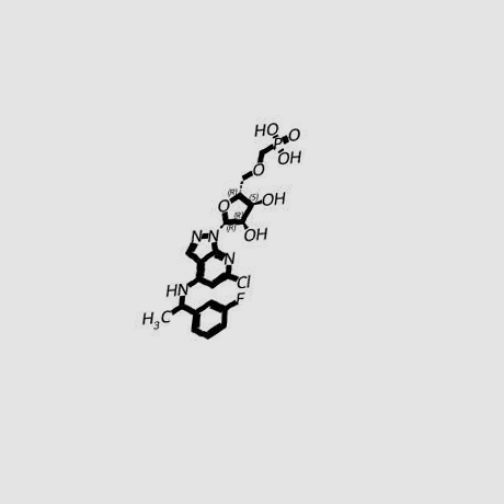 CC(Nc1cc(Cl)nc2c1cnn2[C@@H]1O[C@H](COCP(=O)(O)O)[C@@H](O)[C@H]1O)c1cccc(F)c1